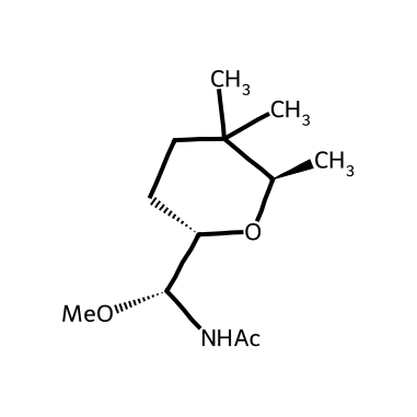 CO[C@@H](NC(C)=O)[C@@H]1CCC(C)(C)[C@@H](C)O1